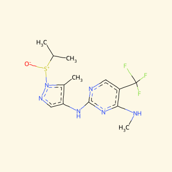 CNc1nc(Nc2cnn([S+]([O-])C(C)C)c2C)ncc1C(F)(F)F